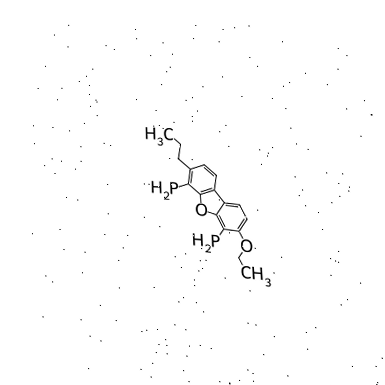 CCCc1ccc2c(oc3c(P)c(OCC)ccc32)c1P